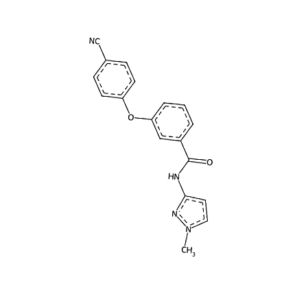 Cn1ccc(NC(=O)c2cccc(Oc3ccc(C#N)cc3)c2)n1